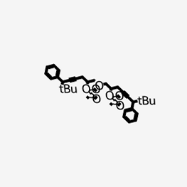 CC(C)(C)C(C#CCC(COCC(CC#CC(c1ccccc1)C(C)(C)C)OS(C)(=O)=O)OS(C)(=O)=O)c1ccccc1